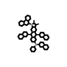 Cc1c(C)n(-c2cc3ccccc3c3ccccc23)c2cc3c(-c4ccc5ccccc5c4)c4ccc(N(c5ccccc5)c5ccc6ccccc6c5)cc4c(-c4ccc5ccccc5c4)c3cc12